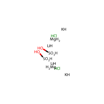 Cl.Cl.O=S(=O)(O)O.O=S(=O)(O)O.[KH].[KH].[LiH].[LiH].[MgH2].[MgH2]